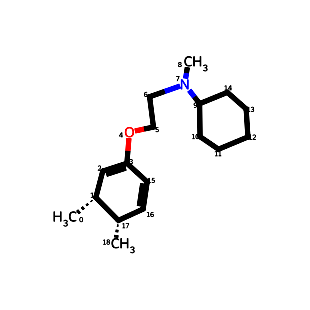 C[C@@H]1C=C(OCCN(C)C2CCCCC2)C=C[C@@H]1C